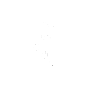 Cc1ccc([AsH]c2cccc3c2CCN(S(C)(=O)=O)C3)cc1-c1ccc(C#N)nn1